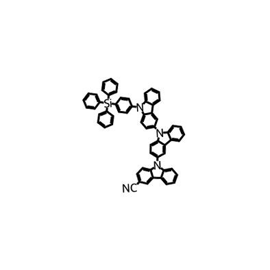 N#Cc1ccc2c(c1)c1ccccc1n2-c1ccc2c(c1)c1ccccc1n2-c1ccc2c(c1)c1ccccc1n2-c1ccc([Si](c2ccccc2)(c2ccccc2)c2ccccc2)cc1